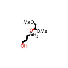 COCC(OC)O[SiH2]CCCO